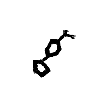 [CH2-][OH+]c1ccc(-n2ccnc2)cc1